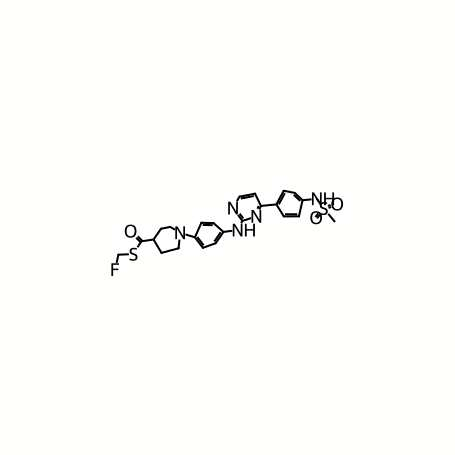 CS(=O)(=O)Nc1ccc(-c2ccnc(Nc3ccc(N4CCC(C(=O)SCF)CC4)cc3)n2)cc1